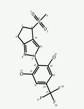 CS(=O)(=O)C1CCc2nn(-c3c(Cl)cc(C(F)(F)F)cc3Cl)cc21